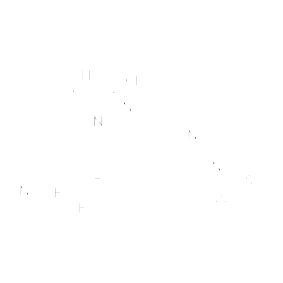 CC1(C)C(=O)N(c2ccc(C#N)c(C(F)(F)F)c2)C(=S)N1CCCN1CCN(C(=O)S)CC1